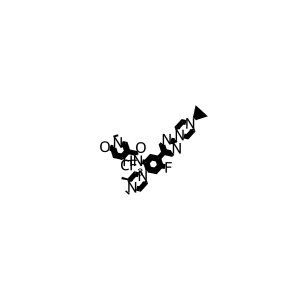 C[C@H]1CN(c2cc(F)c(-c3cnc(N4CCN(C5CC5)CC4)nc3)cc2NC(=O)c2cn(C)c(=O)cc2C(F)(F)F)CCN1C